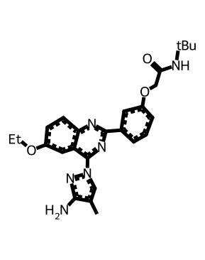 CCOc1ccc2nc(-c3cccc(OCC(=O)NC(C)(C)C)c3)nc(-n3cc(C)c(N)n3)c2c1